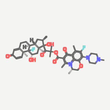 Cc1c(F)c(N2CCN(C)CC2)c2c3c1c(=O)c(C(=O)OC(C)(C)C(=O)[C@@]1(O)[C@H](C)C[C@H]4[C@@H]5CCC6=CC(=O)C=C[C@]6(C)[C@@]5(F)[C@@H](O)C[C@@]41C)c(C)n3[C@@H](C)CO2